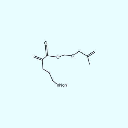 C=C(C)COCOC(=O)C(=C)CCCCCCCCCCCC